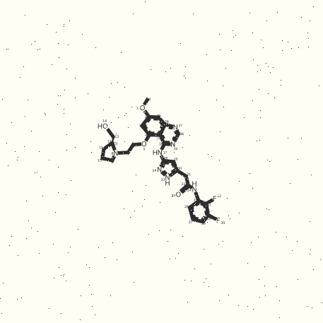 COc1cc(OCCN2CCC[C@H]2CO)c2c(Nc3cc(CC(=O)Nc4cccc(F)c4F)[nH]n3)ncnc2c1